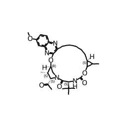 COc1ccc2nc3c(nc2c1)O[C@H]1CN(C(=O)[C@H](C(C)(C)C)NC(=O)OC2C(C)[C@@H]2CCCCC3)[C@H](C(C)=O)[C@@H]1C